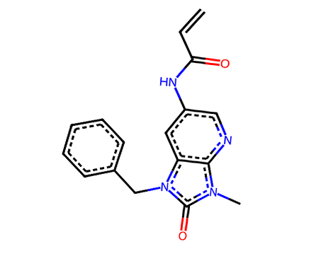 C=CC(=O)Nc1cnc2c(c1)n(Cc1ccccc1)c(=O)n2C